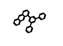 c1ccc(-c2cc(-c3ccccc3)cc(-c3cccc4cc5ccccc5cc34)c2)cc1